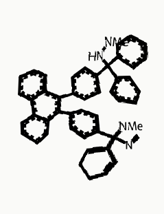 C=NC(NC)(C1=CCCC=C1)c1ccc(-c2c(-c3ccc(C(NNC)(c4ccccc4)c4ccccc4)cc3)c3ccccc3c3ccccc23)cc1